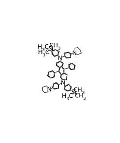 C[Si](C)(C)c1ccc(N(c2ccc(N3CCCCC3)cc2)c2ccc3c(-c4ccccc4)c4cc(N(c5ccc(N6CCCCC6)cc5)c5ccc([Si](C)(C)C)cc5)ccc4c(-c4ccccc4)c3c2)cc1